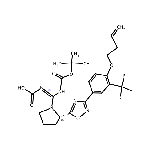 C=CCCOc1ccc(-c2noc([C@@H]3CCCN3/C(=N\C(=O)O)NC(=O)OC(C)(C)C)n2)cc1C(F)(F)F